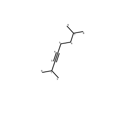 CC(C)C#CCCC(C)C